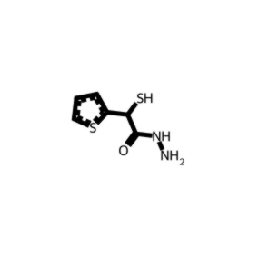 NNC(=O)C(S)c1cccs1